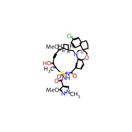 COc1nn(C)cc1C(=O)N[S@@]1(=O)=NC(=O)c2ccc3c(c2)N(C[C@@H]2CC[C@H]2[C@@H](OC)C#C[C@H](O)[C@H](C)C1)C[C@@]1(CCCc2cc(Cl)ccc21)CO3